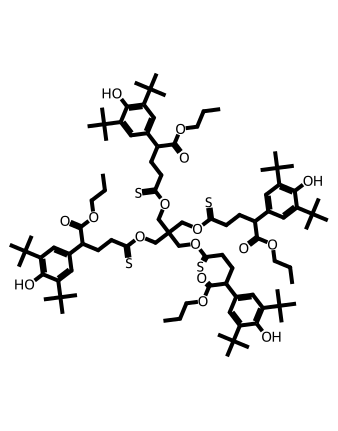 CCCOC(=O)C(CCC(=S)OCC(COC(=S)CCC(C(=O)OCCC)c1cc(C(C)(C)C)c(O)c(C(C)(C)C)c1)(COC(=S)CCC(C(=O)OCCC)c1cc(C(C)(C)C)c(O)c(C(C)(C)C)c1)COC(=S)CCC(C(=O)OCCC)c1cc(C(C)(C)C)c(O)c(C(C)(C)C)c1)c1cc(C(C)(C)C)c(O)c(C(C)(C)C)c1